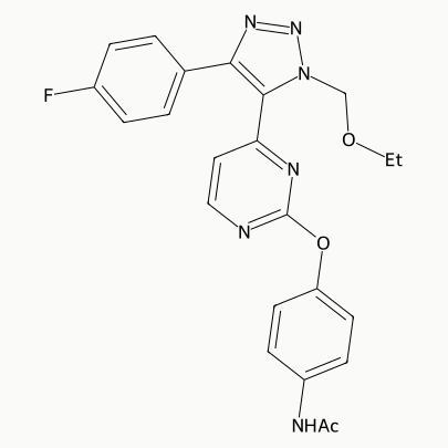 CCOCn1nnc(-c2ccc(F)cc2)c1-c1ccnc(Oc2ccc(NC(C)=O)cc2)n1